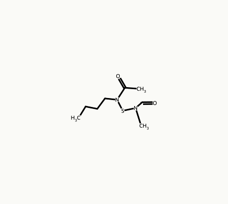 CCCCN(SN(C)[C]=O)C(C)=O